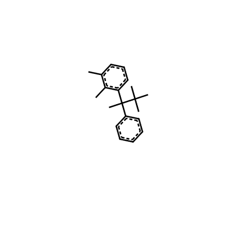 Cc1cccc(C(C)(c2ccccc2)C(C)(C)C)c1C